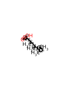 CC1=C(CC/C(C)=C/CC/C(C)=C/CCC2=CC(=O)OC2O)C(C)(C)CCC1